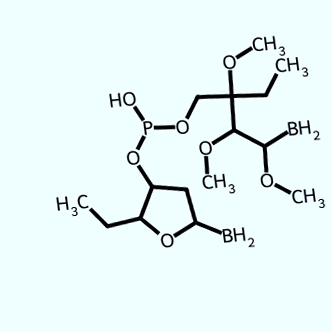 BC1CC(OP(O)OCC(CC)(OC)C(OC)C(B)OC)C(CC)O1